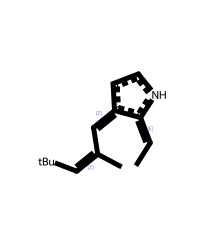 C/C=c1/[nH]cc/c1=C/C(C)=C\C(C)(C)C